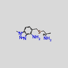 C[C@@H](N)CSCc1ccc2c(nnn2C)c1N